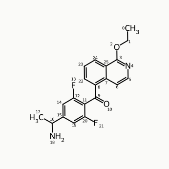 CCOc1nccc2c(C(=O)c3c(F)cc(C(C)N)cc3F)cccc12